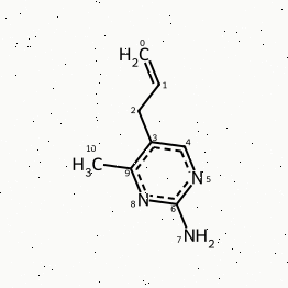 C=CCc1cnc(N)nc1C